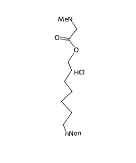 CCCCCCCCCCCCCCCCOC(=O)CNC.Cl